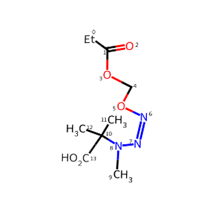 CCC(=O)OCO/N=N\N(C)C(C)(C)C(=O)O